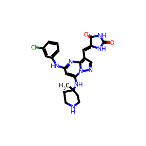 CC1(Nc2cc(Nc3cccc(Cl)c3)nc3c(/C=C4\NC(=O)NC4=O)cnn23)CCNCC1